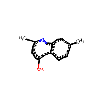 Cc1ccc2c(O)cc(C)nc2c1